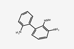 CNc1c(N)cccc1-c1ccccc1N